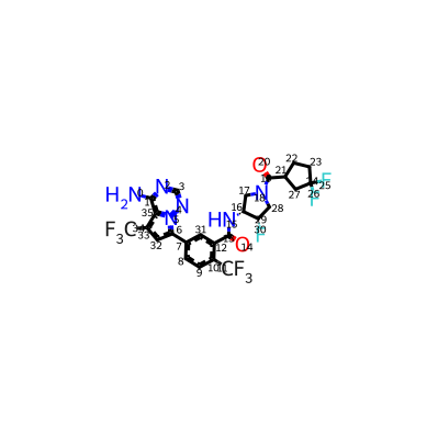 Nc1ncnn2c(-c3ccc(C(F)(F)F)c(C(=O)N[C@@H]4CN(C(=O)C5CCC(F)(F)C5)C[C@@H]4F)c3)cc(C(F)(F)F)c12